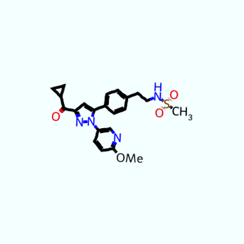 COc1ccc(-n2nc(C(=O)C3CC3)cc2-c2ccc(CCNS(C)(=O)=O)cc2)cn1